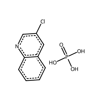 Clc1cnc2ccccc2c1.O=P(O)(O)O